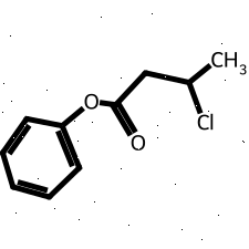 CC(Cl)CC(=O)Oc1ccccc1